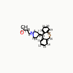 CC(=O)CCN1CCC(=C2c3ccccc3CSc3ccccc32)CC1